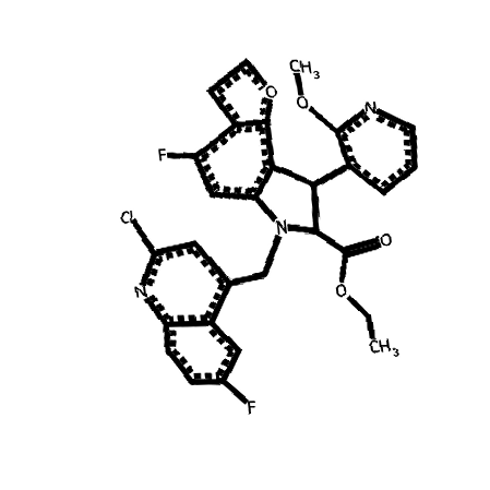 CCOC(=O)C1C(c2cccnc2OC)c2c(cc(F)c3ccoc23)N1Cc1cc(Cl)nc2ccc(F)cc12